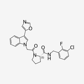 O=C(NCc1cccc(Cl)c1F)[C@@H]1CCCN1C(=O)Cn1cc(-c2cnco2)c2ccccc21